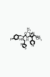 CNc1nn(C)c(NC(=O)[C@H](Cc2ccc(F)cc2)NCc2cscn2)c1-c1ccncc1